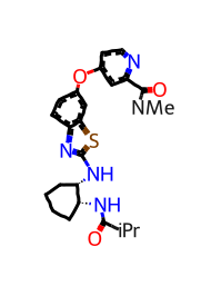 CNC(=O)c1cc(Oc2ccc3nc(N[C@H]4CCCC[C@H]4NC(=O)C(C)C)sc3c2)ccn1